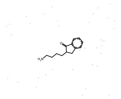 NCCCCC1Cc2ccccc2C1=O